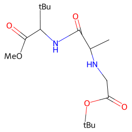 COC(=O)C(NC(=O)C(C)NCC(=O)OC(C)(C)C)C(C)(C)C